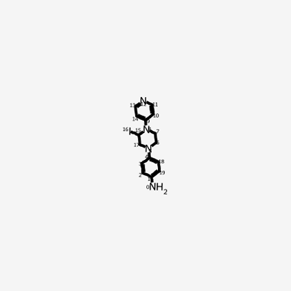 Nc1ccc(N2CCN(c3ccncc3)C(I)C2)cc1